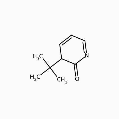 CC(C)(C)C1C=CC=NC1=O